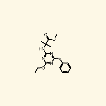 CCOc1nc(NC(C)(C)C(=O)OC)nc(Sc2ccccc2)n1